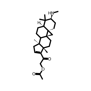 CN[C@H]1CC[C@]23C[C@]24CC[C@]2(C)C(C(=O)COC(C)=O)=CC[C@@]2(C)C4CC[C@H]3C1(C)C